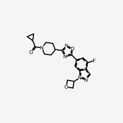 O=C(C1CC1)N1CCC(c2noc(-c3cc(F)c4cnn(C5COC5)c4c3)n2)CC1